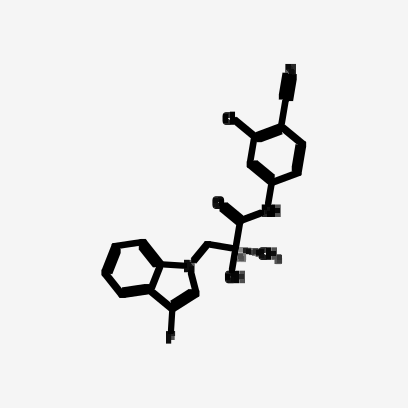 C[C@](O)(Cn1cc(F)c2ccccc21)C(=O)Nc1ccc(C#N)c(Cl)c1